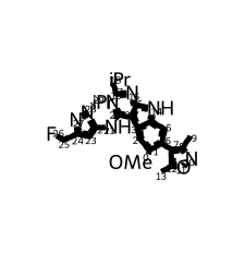 COc1cc2c(cc1-c1c(C)noc1C)[nH]c1nc(C(C)C)nc(Nc3cc(CF)nn3C(C)C)c12